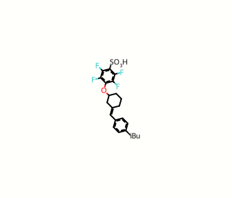 CCC(C)c1ccc(/C=C2\CCCC(Oc3c(F)c(F)c(S(=O)(=O)O)c(F)c3F)C2)cc1